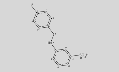 Cc1ccc(CNc2cccc(S(=O)(=O)O)c2)cc1